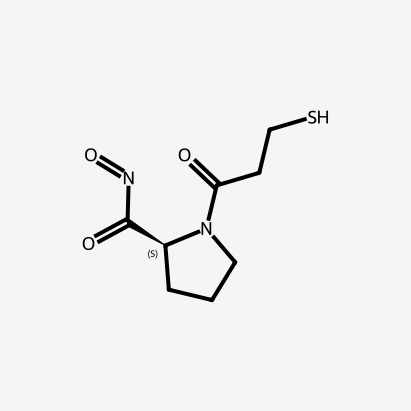 O=NC(=O)[C@@H]1CCCN1C(=O)CCS